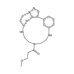 COCCC(=O)N1CCNc2cccc(c2)-c2cnn3ccc(nc23)NCC1